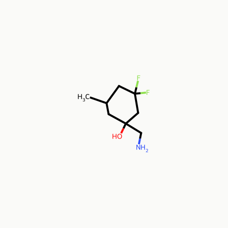 CC1CC(F)(F)CC(O)(CN)C1